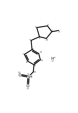 CC1CCC(Cc2ccc(C[SH](=O)=O)cc2)C1.[H+]